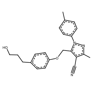 Cc1ccc(-n2nc(C)c(C#N)c2COc2ccc(CCCO)cc2)cc1